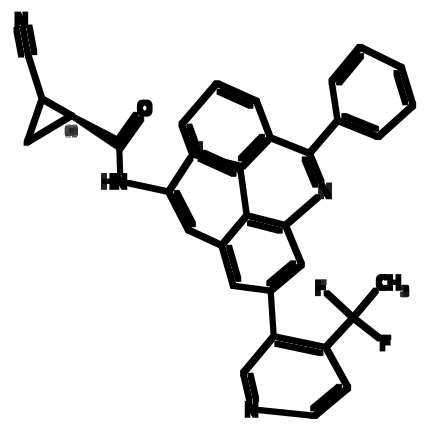 CC(F)(F)c1ccncc1-c1cc(N=C(c2ccccc2)c2ccccc2)c2cnc(NC(=O)[C@H]3CC3C#N)cc2c1